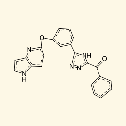 O=C(c1ccccc1)c1nnc(-c2cccc(Oc3ccc4[nH]ccc4n3)c2)[nH]1